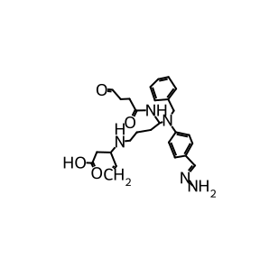 C=CC(CC(=O)O)NCCCC(NC(=O)CCC=O)N(Cc1ccccc1)c1ccc(C=NN)cc1